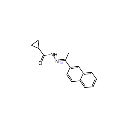 C/C(=N\NC(=O)C1CC1)c1ccc2ccccc2c1